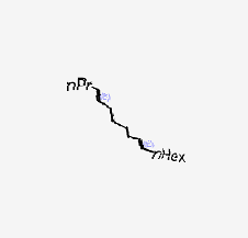 [CH2]CC/C=C/CCCC/C=C/CCCCCC